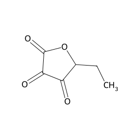 CCC1OC(=O)C(=O)C1=O